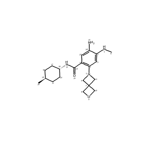 CNc1cc(N2CC3(COC3)C2)c(C(=O)N[C@H]2CC[C@H](C)CC2)cc1N